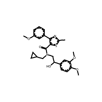 COc1cccc(-c2nc(C)sc2C(=O)N(CC2CC2)CC(O)c2ccc(OC)c(OC)c2)c1